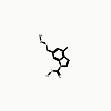 CCOOCc1cc(C)c2ccn(C(=O)OC(C)(C)C)c2c1